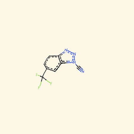 N#Cn1nnc2ccc(C(F)(F)F)cc21